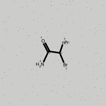 CC[CH]C(Br)C(N)=O